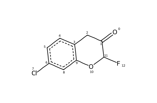 O=C1Cc2ccc(Cl)cc2OC1F